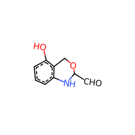 O=CC1Nc2cccc(O)c2CO1